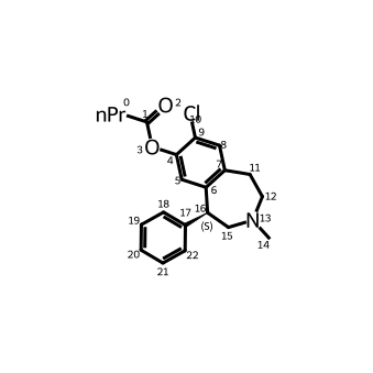 CCCC(=O)Oc1cc2c(cc1Cl)CCN(C)C[C@H]2c1ccccc1